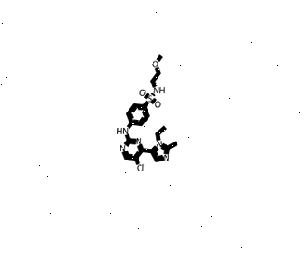 CCn1c(-c2nc(Nc3ccc(S(=O)(=O)NCCOC)cc3)ncc2Cl)cnc1C